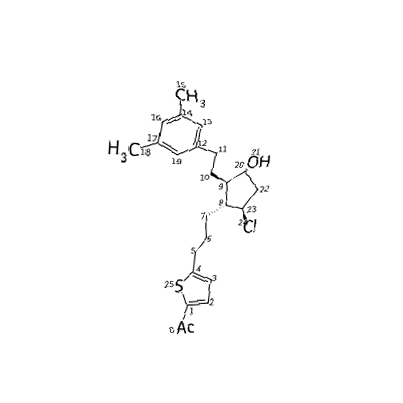 CC(=O)c1ccc(CCC[C@@H]2[C@@H](CCc3cc(C)cc(C)c3)[C@H](O)C[C@H]2Cl)s1